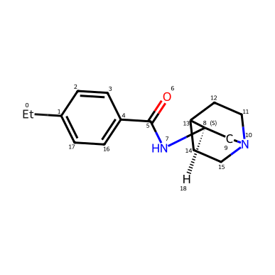 CCc1ccc(C(=O)N[C@@H]2CN3CCC2CC3)cc1